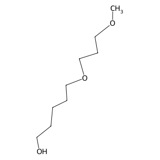 COCCCOCCCCCO